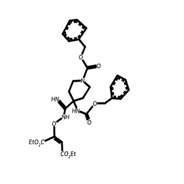 CCOC(=O)C=C(ONC(=N)C1(NC(=O)OCc2ccccc2)CCN(C(=O)OCc2ccccc2)CC1)C(=O)OCC